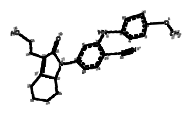 COc1ccc(Nc2cc(N3C(=O)C(CCO)=C4CCCCC43)ccc2C#N)cc1